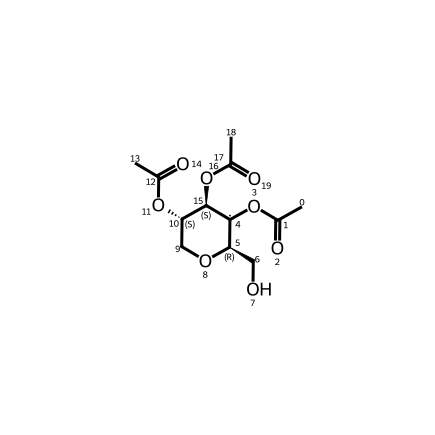 CC(=O)O[C]1[C@@H](CO)OC[C@H](OC(C)=O)[C@H]1OC(C)=O